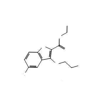 CCCOc1c(C(=O)OCC)oc2ccc(N)cc12.Cl